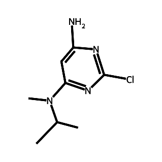 CC(C)N(C)c1cc(N)nc(Cl)n1